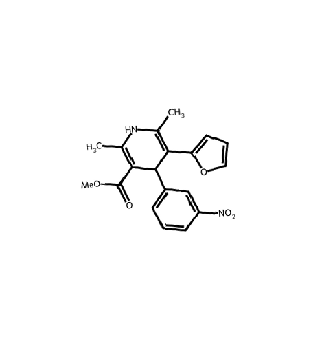 COC(=O)C1=C(C)NC(C)=C(c2ccco2)C1c1cccc([N+](=O)[O-])c1